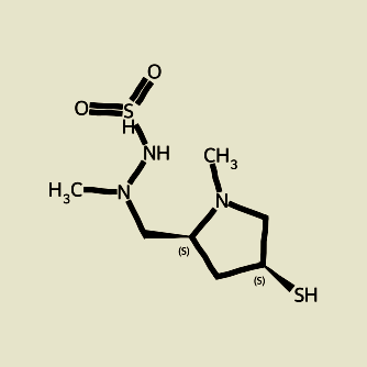 CN(C[C@@H]1C[C@H](S)CN1C)N[SH](=O)=O